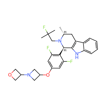 C[C@@H]1Cc2c([nH]c3ccccc23)[C@@H](c2c(F)cc(OC3CN(C4COC4)C3)cc2F)N1CC(C)(C)F